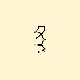 C=CC(=O)OC1(F)CCCO1